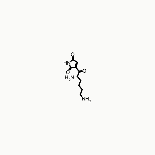 NCCCC[C@H](N)C(=O)C1=CC(=O)NC1=O